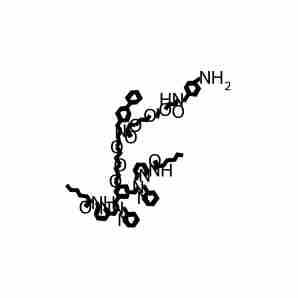 CCCCCC(=O)Nc1cccc(CN(Cc2cc(CN(Cc3ccccn3)Cc3cccc(NC(=O)CCCCC)n3)cc(OCCOCCOCCN(Cc3ccc(-c4ccccc4)cc3)C(=O)COCCOCCOCC(=O)NCc3ccc(CN)cc3)c2)Cc2ccccn2)n1